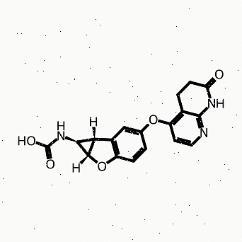 O=C(O)N[C@@H]1[C@H]2Oc3ccc(Oc4ccnc5c4CCC(=O)N5)cc3[C@@H]12